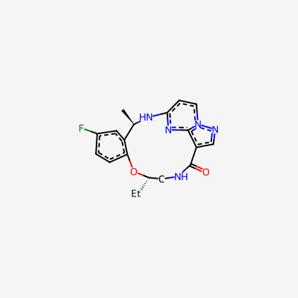 CC[C@H]1CNC(=O)c2cnn3ccc(nc23)N[C@H](C)c2cc(F)ccc2O1